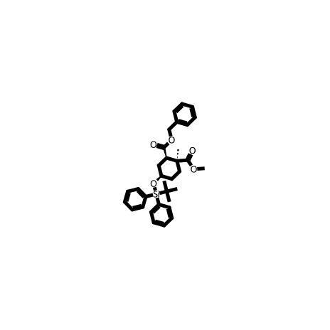 COC(=O)[C@@]1(C)CC[C@@H](O[Si](c2ccccc2)(c2ccccc2)C(C)(C)C)C[C@H]1C(=O)OCc1ccccc1